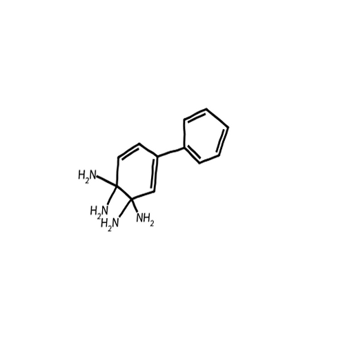 NC1(N)C=CC(c2ccccc2)=CC1(N)N